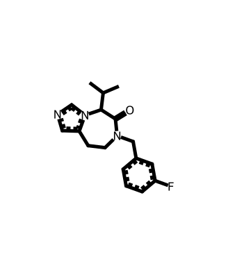 CC(C)C1C(=O)N(Cc2cccc(F)c2)CCc2cncn21